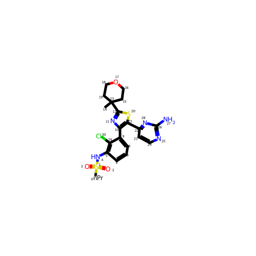 CCCS(=O)(=O)Nc1cccc(-c2nc(C3(C)CCOCC3)sc2-c2ccnc(N)n2)c1Cl